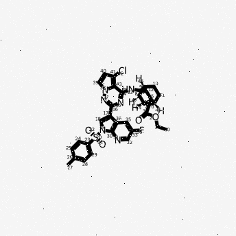 CCOC(=O)[C@H]1[C@H]2CC[C@H](CC2)[C@@H]1Nc1nc(-c2cn(S(=O)(=O)c3ccc(C)cc3)c3ncc(F)cc23)nn2ccc(Cl)c12